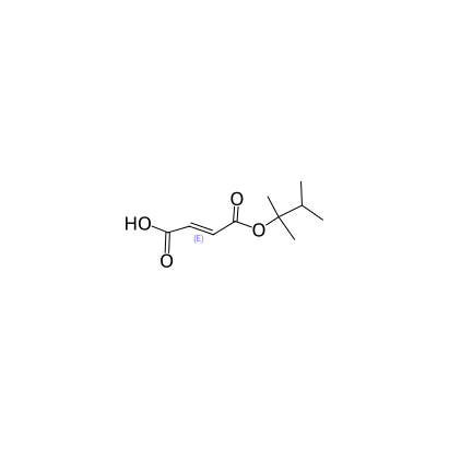 CC(C)C(C)(C)OC(=O)/C=C/C(=O)O